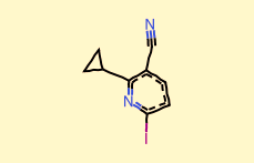 N#Cc1ccc(I)nc1C1CC1